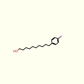 OCCCCCCCCCCc1ccc(I)cc1